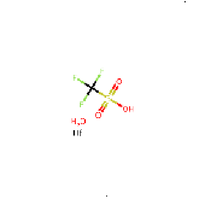 O.O=S(=O)(O)C(F)(F)F.[Hf]